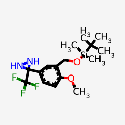 COc1ccc(C2(C(F)(F)F)NN2)cc1CO[Si](C)(C)C(C)(C)C